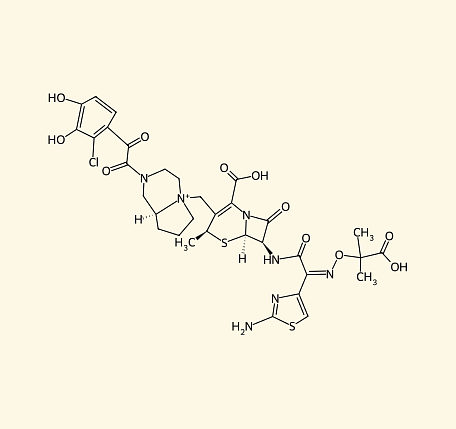 C[C@@H]1S[C@@H]2[C@H](NC(=O)/C(=N\OC(C)(C)C(=O)O)c3csc(N)n3)C(=O)N2C(C(=O)O)=C1C[N+]12CCC[C@H]1CN(C(=O)C(=O)c1ccc(O)c(O)c1Cl)CC2